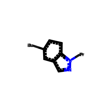 CCC(C)c1ccc2c(cnn2C(C)C)c1